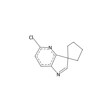 Clc1ccc2c(n1)C1(C=N2)CCCC1